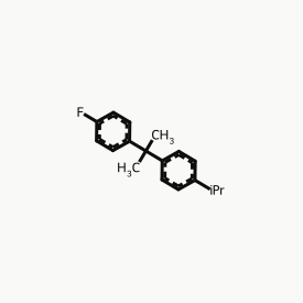 CC(C)c1ccc(C(C)(C)c2ccc(F)cc2)cc1